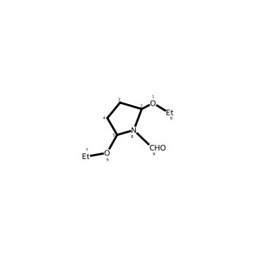 CCOC1CCC(OCC)N1C=O